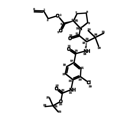 C=CCOC(=O)[C@H]1CCCN1C(=O)[C@@H](NC(=O)c1ccc(NC(=O)OC(C)(C)C)c(Cl)c1)C(C)(C)C